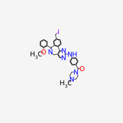 COc1ccccc1C1=NCc2cnc(Nc3ccc(C(=O)N4CCN(C)CC4)cc3)nc2-c2ccc(CI)cc21